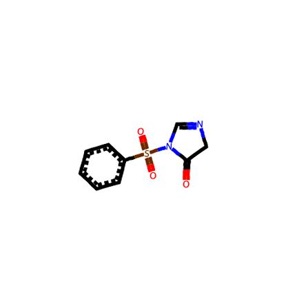 O=C1CN=CN1S(=O)(=O)c1ccccc1